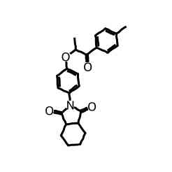 Cc1ccc(C(=O)C(C)Oc2ccc(N3C(=O)C4CCCCC4C3=O)cc2)cc1